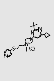 CC(C)(C)c1nc(C2CCC2)cc(N2CCN(CCCSc3ccncc3)CC2)n1.Cl